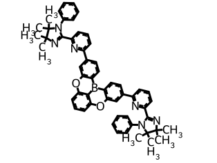 CC1(C)N=C(c2cccc(-c3ccc4c(c3)Oc3cccc5c3B4c3ccc(-c4cccc(C6=NC(C)(C)C(C)(C)N6c6ccccc6)n4)cc3O5)n2)N(c2ccccc2)C1(C)C